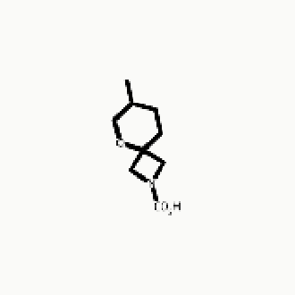 CC1CCC2(CN(C(=O)O)C2)OC1